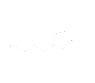 COCCCn1cc(C(C)(C)C)cn1